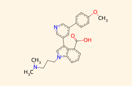 COc1ccc(-c2cncc(-c3cn(CCCN(C)C)c4cccc(C(=O)O)c34)c2)cc1